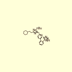 CCCCc1nc(CCC2CCCCC2)nn1Cc1ccc(-c2ccccc2-c2nnn[nH]2)cn1